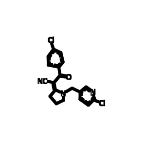 N#C/C(C(=O)c1ccc(Cl)cc1)=C1\CCCN1Cc1ccc(Cl)nc1